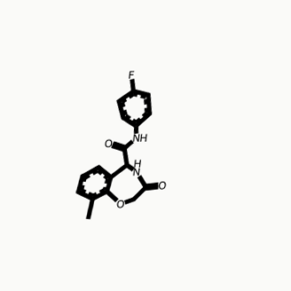 Cc1cccc2c1OCC(=O)NC2C(=O)Nc1ccc(F)cc1